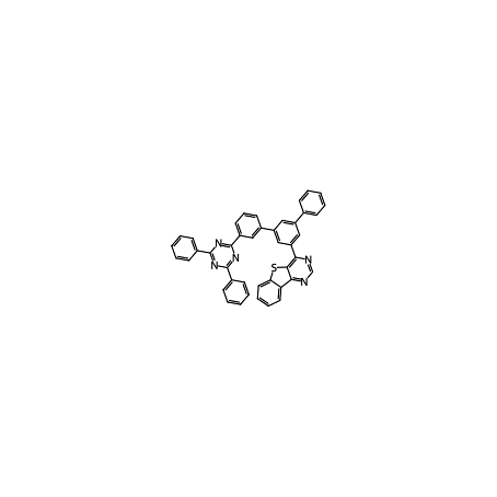 c1ccc(-c2cc(-c3cccc(-c4nc(-c5ccccc5)nc(-c5ccccc5)n4)c3)cc(-c3ncnc4c3sc3ccccc34)c2)cc1